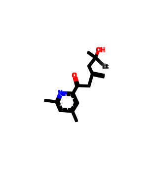 C=C(CC(=O)c1cc(C)cc(C)n1)CC(C)(O)CC